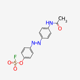 CC(=O)Nc1ccc(/N=N/c2ccc(OS(=O)(=O)F)cc2)cc1